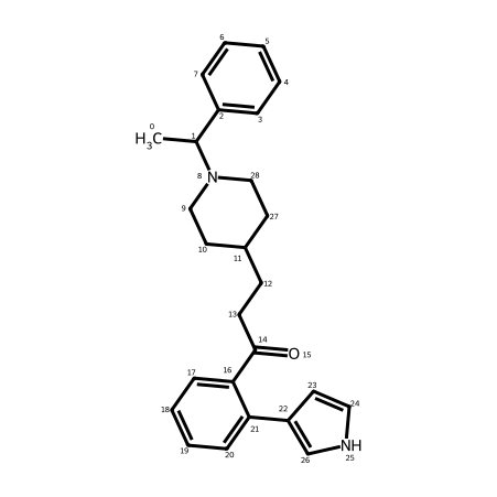 CC(c1ccccc1)N1CCC(CCC(=O)c2ccccc2-c2cc[nH]c2)CC1